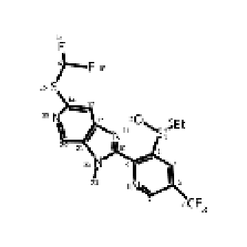 CC[S+]([O-])c1cc(C(F)(F)F)cnc1-c1nc2cc(SC(F)F)ncc2n1C